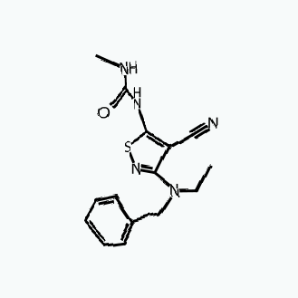 CCN(Cc1ccccc1)c1nsc(NC(=O)NC)c1C#N